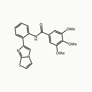 COc1cc(C(=O)Nc2ccccc2-c2cn3ccsc3n2)cc(OC)c1OC